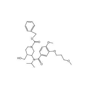 COCCCOc1cc(C(=O)N(C(C)C)C2CN(C(=O)OCc3ccccc3)CCC2CO)ccc1OC